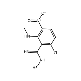 CNc1c([N+](=O)[O-])ccc(Cl)c1C(=N)NS